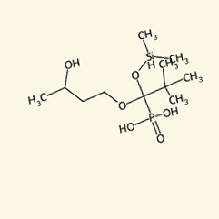 CC(O)CCOC(O[SiH](C)C)(C(C)(C)C)P(=O)(O)O